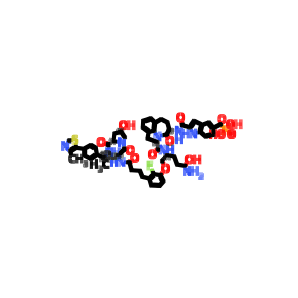 Cc1ncsc1-c1ccc([C@H](C)NC(=O)[C@@H]2C[C@@H](O)CN2C(=O)[C@@H](NC(=O)CCCc2cccc(OC[C@H](CCC(N)O)NC(=O)[C@@H]3Cc4cccc5c4N3C(=O)[C@@H](NC(=O)c3cc4cc(C(=O)P(=O)(O)O)ccc4[nH]3)CC5)c2F)C(C)(C)C)cc1